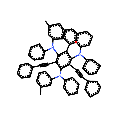 Cc1cccc(N(c2ccccc2)c2c(C#Cc3ccccc3)c(N(c3ccccc3)c3cccc(C)c3)c(-c3ccccc3)c(N(c3ccccc3)c3cccc(C)c3)c2C#Cc2ccccc2)c1